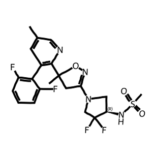 Cc1cnc(C2(C)CC(N3C[C@@H](NS(C)(=O)=O)C(F)(F)C3)=NO2)c(-c2c(F)cccc2F)c1